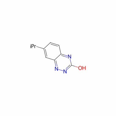 CC(C)c1ccc2nc(O)nnc2c1